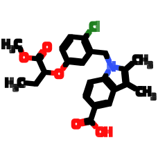 CCC(Oc1ccc(Cl)c(Cn2c(C)c(C)c3cc(C(=O)O)ccc32)c1)C(=O)OC